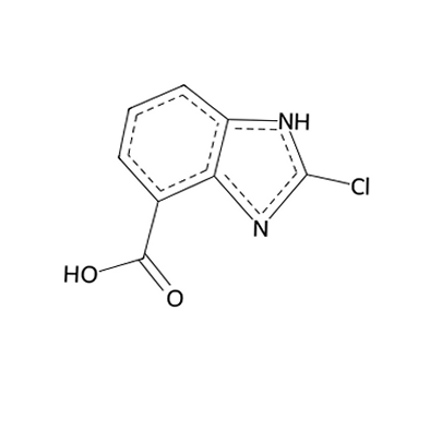 O=C(O)c1cccc2[nH]c(Cl)nc12